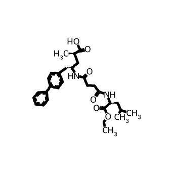 CCOC(=O)[C@H](CC(C)C)NC(=O)CCC(=O)N[C@H](Cc1ccc(-c2ccccc2)cc1)C[C@@H](C)C(=O)O